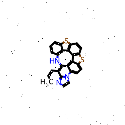 C/C=C\c1c2[nH]c3cccc4sc5ccc6sc7ccc(c2c7c6c5c34)n2ccnc12